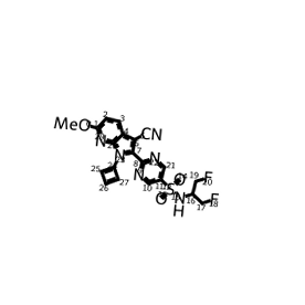 COc1ccc2c(C#N)c(-c3ncc(S(=O)(=O)NC(CF)CF)cn3)n(C3=CC=C3)c2n1